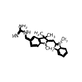 CN1C(=Cc2sc3ccccc3[n+]2C)C(C)(C)c2cc(CNC(=N)N)ccc21